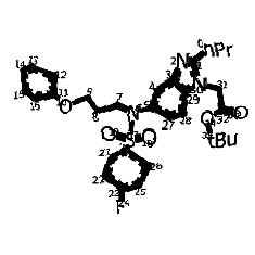 CCCc1nc2cc(N(CCCOc3ccccc3)S(=O)(=O)c3ccc(F)cc3)ccc2n1CC(=O)OC(C)(C)C